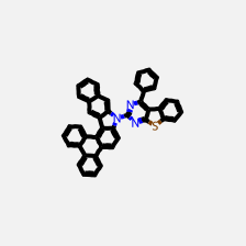 c1ccc(-c2nc(-n3c4cc5ccccc5cc4c4c5c6ccccc6c6ccccc6c5ccc43)nc3sc4ccccc4c23)cc1